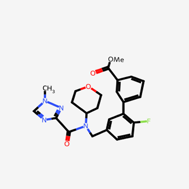 COC(=O)c1cccc(-c2cc(CN(C(=O)c3ncn(C)n3)C3CCOCC3)ccc2F)c1